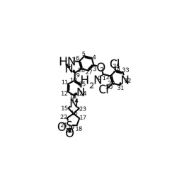 N[C@@H](Oc1ccc2[nH]nc(-c3ccc(N4CC5(CCS(=O)(=O)C5)C4)nc3)c2c1)c1c(Cl)cncc1Cl